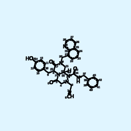 C#CCN1CC(=O)N2[C@@H](Cc3ccc(O)cc3)C(=O)N(Cc3cccc4cccnc34)C[C@@H]2N1C(=O)NCc1ccccc1